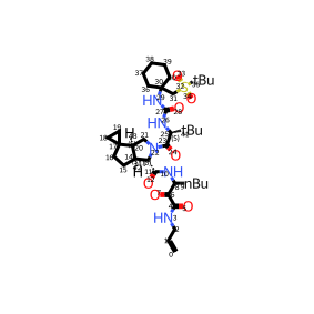 C=CCNC(=O)C(=O)C(CCCC)NC(=O)[C@@H]1[C@H]2CCC3(CC3)[C@H]2CN1C(=O)[C@@H](NC(=O)NC1(CS(=O)(=O)C(C)(C)C)CCCCC1)C(C)(C)C